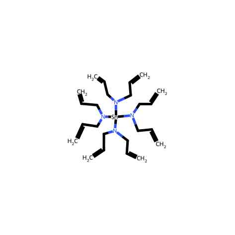 C=CC[N](CC=C)[Sn]([N](CC=C)CC=C)([N](CC=C)CC=C)[N](CC=C)CC=C